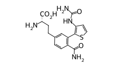 NC(=O)Nc1ccsc1-c1cc(CC[C@H](N)C(=O)O)ccc1C(N)=O